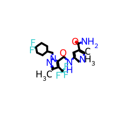 Cc1ncc(NC(=O)c2c(C(F)(F)F)c(C)nn2CC2CCC(F)(F)CC2)cc1C(N)=O